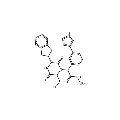 CC(C)CC1C(=O)NC(C2Cc3ccccc3C2)C(=O)N1C(C(=O)NC(C)(C)C)c1cccc(-c2cc[nH]n2)c1